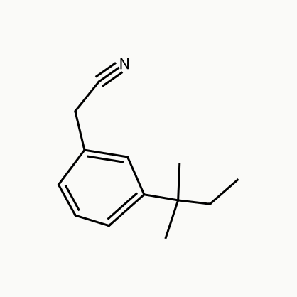 CCC(C)(C)c1cccc(CC#N)c1